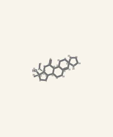 C=C1C[C@@]2(CC)C(CC[C@]2(C)O)C2CCC3=CC4(CCC3C12)SCCS4